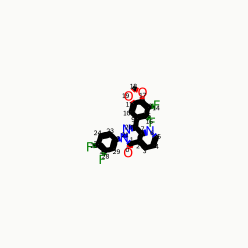 O=c1c2cccnc2c(-c2cc3c(c(F)c2F)OCO3)nn1-c1ccc(F)c(F)c1